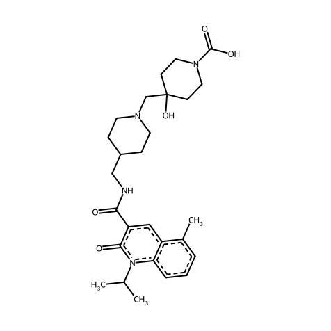 Cc1cccc2c1cc(C(=O)NCC1CCN(CC3(O)CCN(C(=O)O)CC3)CC1)c(=O)n2C(C)C